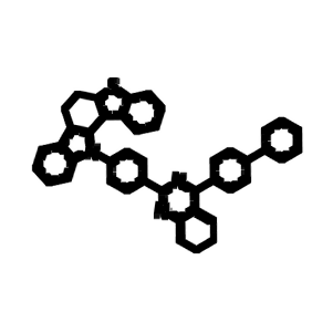 C1=c2nc(-c3ccc(-n4c5c(c6ccccc64)CCc4sc6ccccc6c4-5)cc3)nc(-c3ccc(-c4ccccc4)cc3)c2=CCC1